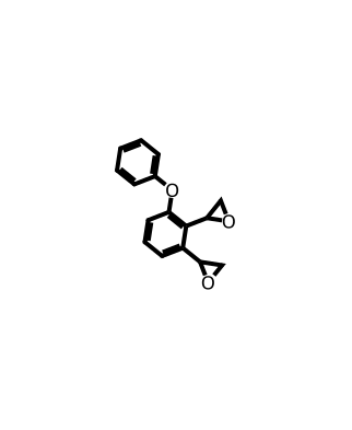 c1ccc(Oc2cccc(C3CO3)c2C2CO2)cc1